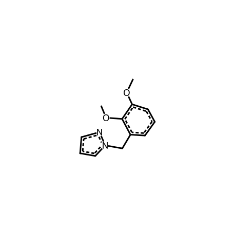 COc1cccc(Cn2cccn2)c1OC